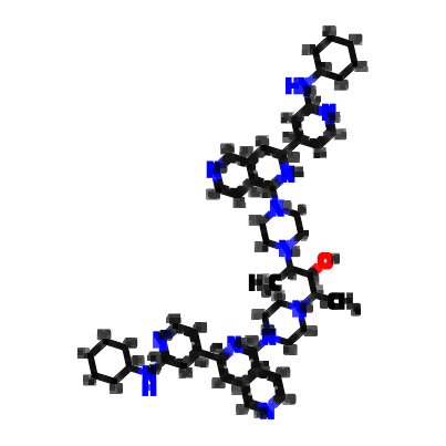 CC(C(=O)C(C)N1CCN(c2nc(-c3ccnc(NC4CCCCC4)c3)cc3cnccc23)CC1)N1CCN(c2nc(-c3ccnc(NC4CCCCC4)c3)cc3cnccc23)CC1